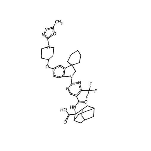 Cc1nnc(N2CCC(Oc3ccc4c(c3)C3(CCCCC3)CN4c3ncc(C(=O)NC4(C(=O)O)C5CC6CC(C5)CC4C6)c(C(F)(F)F)n3)CC2)o1